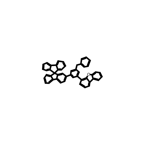 c1ccc(Cc2cc(-c3ccc4c(c3)C3(c5ccccc5-c5ccccc53)c3ccccc3-4)cc(-c3cccc4c3oc3ccccc34)c2)cc1